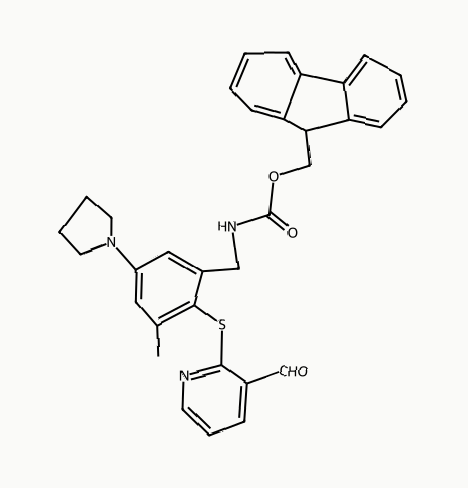 Cc1cc(N2CCCC2)cc(CNC(=O)OCC2c3ccccc3-c3ccccc32)c1Sc1ncccc1C=O